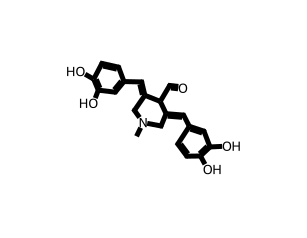 CN1CC(=Cc2ccc(O)c(O)c2)C(C=O)C(=Cc2ccc(O)c(O)c2)C1